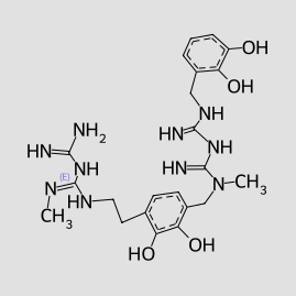 C/N=C(\NCCc1ccc(CN(C)C(=N)NC(=N)NCc2cccc(O)c2O)c(O)c1O)NC(=N)N